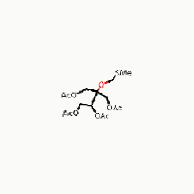 CSCOC(COC(C)=O)(COC(C)=O)C(COC(C)=O)OC(C)=O